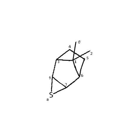 CC1(C)C2CCC1C1SC12